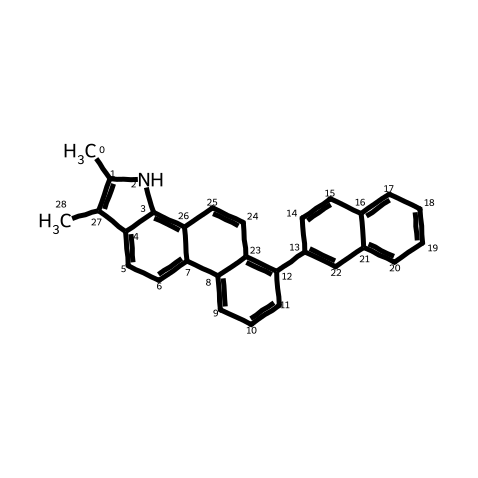 Cc1[nH]c2c(ccc3c4cccc(-c5ccc6ccccc6c5)c4ccc32)c1C